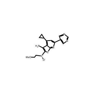 COCC[S@+]([O-])c1sc2nc(-c3cncnc3)cc(C3CC3)c2c1N